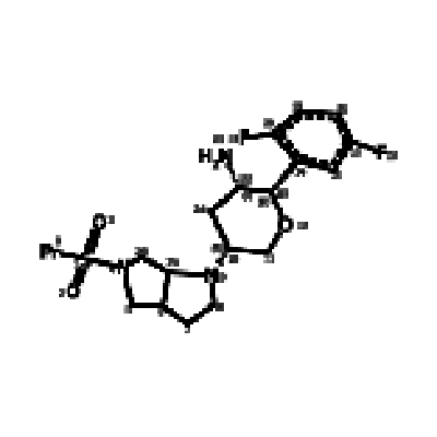 CC(C)S(=O)(=O)N1CC2CCN([C@H]3CO[C@H](c4cc(F)ccc4F)[C@@H](N)C3)C2C1